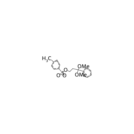 COC(CCOS(=O)(=O)c1ccc(C)cc1)(OC)c1ccccc1